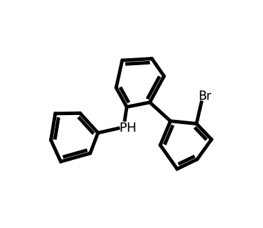 Brc1ccccc1-c1ccccc1Pc1ccccc1